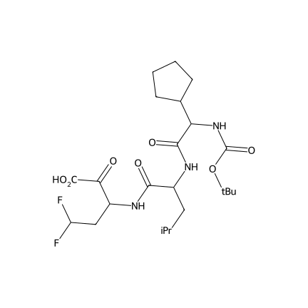 CC(C)CC(NC(=O)C(NC(=O)OC(C)(C)C)C1CCCC1)C(=O)NC(CC(F)F)C(=O)C(=O)O